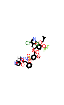 COc1ccc(S(=O)(=O)NC(C(=O)O[C@H]2CN3CCC2CC3)c2ccccc2)cc1C(=O)O[C@@H](Cc1c(Cl)cncc1Cl)c1ccc(OC(F)F)c(OCC2CC2)c1